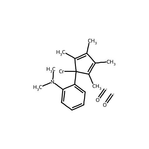 CC1=C(C)[C]([Cr])(c2ccccc2N(C)C)C(C)=C1C.[C]=O.[C]=O